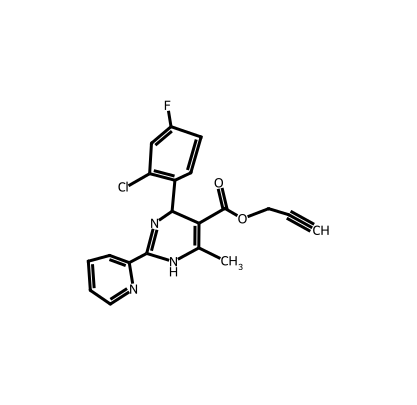 C#CCOC(=O)C1=C(C)NC(c2ccccn2)=NC1c1ccc(F)cc1Cl